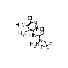 Cc1c(Cl)nnc(NC(=O)N(N)CC(F)(F)F)c1C.Cl